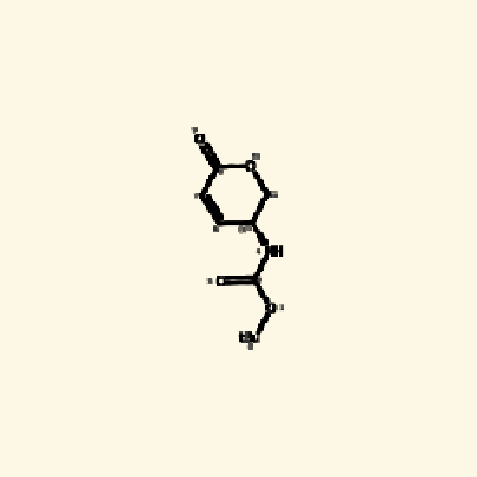 CC(C)(C)OC(=O)N[C@H]1C=CC(=O)OC1